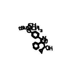 CC(C)(C)[Si](C)(C)Oc1ccc(-c2noc(C(O)C3CC3)c2-c2ccccc2)cc1